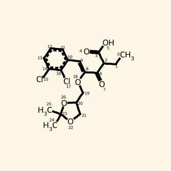 CCC(C(=O)O)C(=O)C(=Cc1cccc(Cl)c1Cl)OCC1COC(C)(C)O1